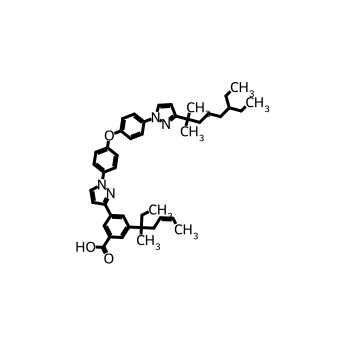 C/C=C\CC(C)(CC)c1cc(C(=O)O)cc(-c2ccn(-c3ccc(Oc4ccc(-n5ccc(C(C)(C)CCCC(CC)CC)n5)cc4)cc3)n2)c1